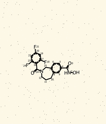 O=C(NO)c1ccc2c(c1)CCCN(C(=O)c1c(F)cc(F)cc1F)C2